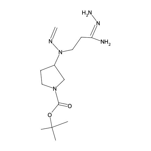 C=NN(CC/C(N)=N\N)C1CCN(C(=O)OC(C)(C)C)C1